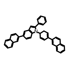 C1=CC(n2c(-c3ccccc3)cc3cc(-c4ccc5ccccc5c4)ccc32)CC=C1c1ccc2ccccc2c1